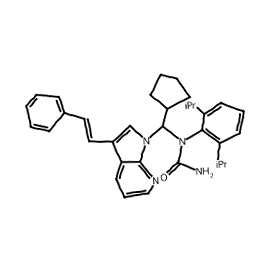 CC(C)c1cccc(C(C)C)c1N(C(N)=O)C(C1CCCC1)n1cc(C=Cc2ccccc2)c2cccnc21